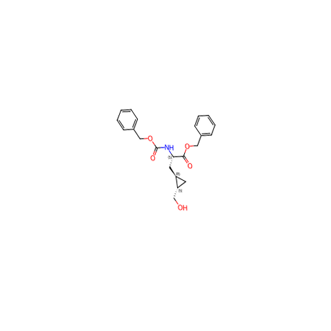 O=C(N[C@@H](C[C@H]1C[C@@H]1CO)C(=O)OCc1ccccc1)OCc1ccccc1